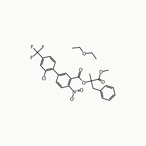 CCOCC.COC(=O)C(C)(Cc1ccccc1)OC(=O)c1cc(-c2ccc(C(F)(F)F)cc2Cl)ccc1[N+](=O)[O-]